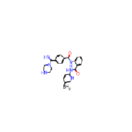 Bc1ccc(NC(=O)c2ccccc2NC(=O)c2ccc(C(=N)N3CCNCC3)cc2)nc1